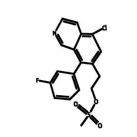 CS(=O)(=O)OCCc1cc(Cl)c2ccncc2c1-c1cccc(F)c1